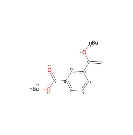 C=C(OCCCC)c1cccc(C(=O)OCCCC)c1